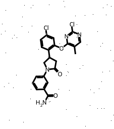 Cc1cnc(Cl)nc1Oc1cc(Cl)ccc1C1CC(=O)N(c2cccc(C(N)=O)c2)C1